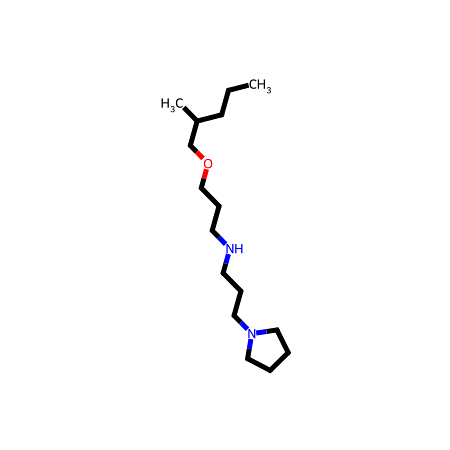 CCCC(C)COCCCNCCCN1CCCC1